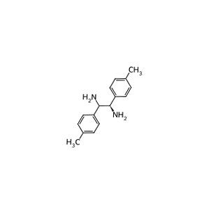 Cc1ccc(C(N)[C@H](N)c2ccc(C)cc2)cc1